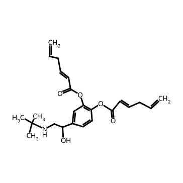 C=CC/C=C/C(=O)Oc1ccc(C(O)CNC(C)(C)C)cc1OC(=O)/C=C/CC=C